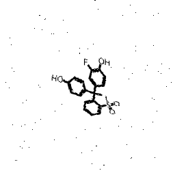 CC(c1ccc(O)cc1)(c1ccc(O)c(F)c1)c1ccccc1S(=O)(=O)I